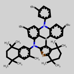 Cc1cc2c(cc1N1c3cc(C(C)(C)C)cc4c3B(c3ccc(C(C)(C)C)cc3N4c3cccc(C(C)(C)C)c3)c3c1sc1c3C(C)(C)CCC1(C)C)C(C)(C)CCC2(C)C